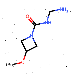 CC(C)(C)OC1CN(C(=O)NCN)C1